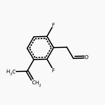 C=C(C)c1ccc(F)c(CC=O)c1F